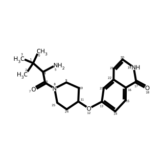 CC(C)(C)C(N)C(=O)N1CCC(Oc2ccc3c(=O)[nH]ccc3c2)CC1